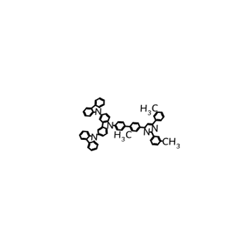 Cc1cccc(-c2cc(-c3ccc(-c4ccc(-n5c6ccc(-n7c8ccccc8c8ccccc87)cc6c6cc(-n7c8ccccc8c8ccccc87)ccc65)cc4)c(C)c3)nc(-c3cccc(C)c3)n2)c1